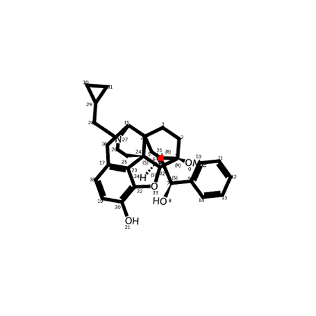 CO[C@]12CCC3(C[C@@H]1[C@H](O)c1ccccc1)C1Cc4ccc(O)c5c4[C@@]3(CCN1CC1CC1)[C@@H]2O5